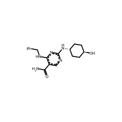 CC(C)CNc1nc(N[C@H]2CC[C@H](O)CC2)ncc1C(N)=O